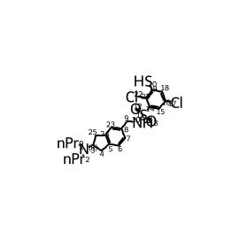 CCCN(CCC)[C@@H]1Cc2ccc(CNS(=O)(=O)c3cc(Cl)cc(S)c3Cl)cc2C1